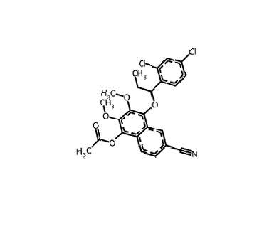 CCC(Oc1c(OC)c(OC)c(OC(C)=O)c2ccc(C#N)cc12)c1ccc(Cl)cc1Cl